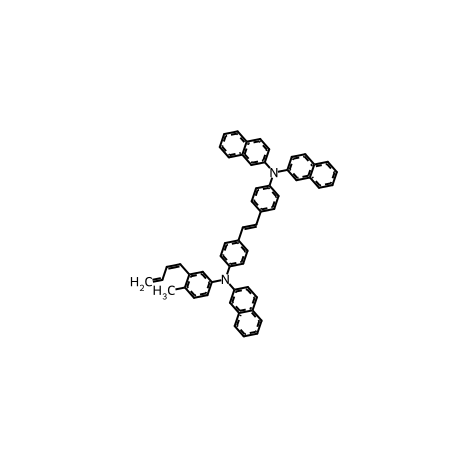 C=C/C=C\c1cc(N(c2ccc(/C=C/c3ccc(N(c4ccc5ccccc5c4)c4ccc5ccccc5c4)cc3)cc2)c2ccc3ccccc3c2)ccc1C